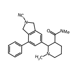 CNC(=O)C1CCCN(C)C1c1cc2c(c(-c3ccccc3)c1)CN(C#N)C2